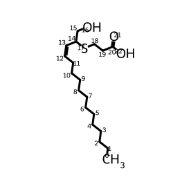 CCCCCCCCCCCC/C=C\C(CO)SCCC(=O)O